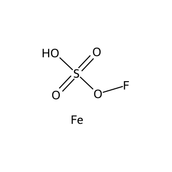 O=S(=O)(O)OF.[Fe]